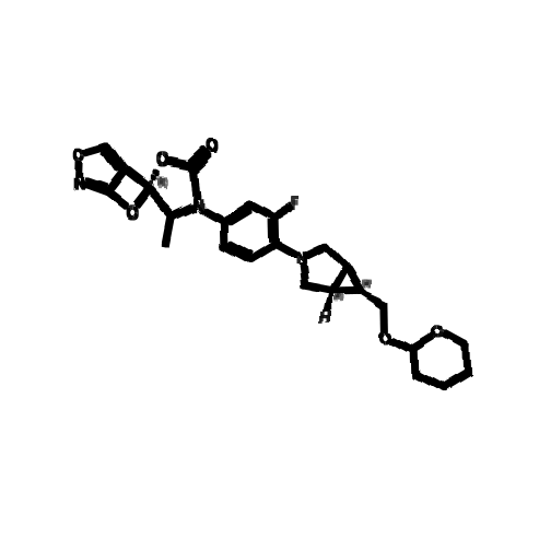 CC1N(c2ccc(N3CC4[C@@H](COC5CCCCO5)[C@@H]4C3)c(F)c2)C(=O)O[C@@]12Oc1nocc12